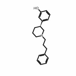 Oc1cccc([C@@H]2CCCN(CCCc3ccccc3)C2)c1